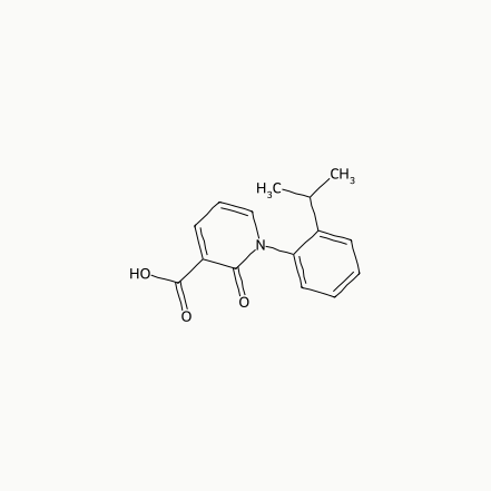 CC(C)c1ccccc1-n1cccc(C(=O)O)c1=O